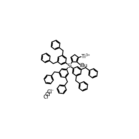 CCC(C)C1=[C]([Ti+3])CC=C1[Si](c1cc(Cc2ccccc2)cc(Cc2ccccc2)c1)(c1cc(Cc2ccccc2)cc(Cc2ccccc2)c1)c1cc(Cc2ccccc2)cc(Cc2ccccc2)c1.[Cl-].[Cl-].[Cl-]